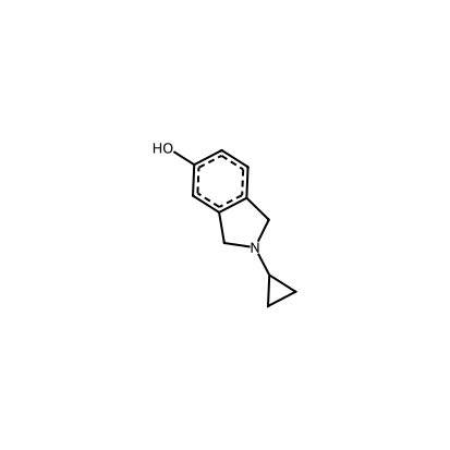 Oc1ccc2c(c1)CN(C1CC1)C2